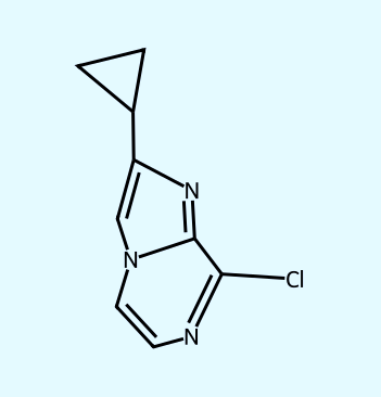 Clc1nccn2cc(C3CC3)nc12